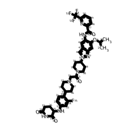 CC(C)Oc1cc2nn(C3CCN(C(=O)CN4CCC(c5ccc(NC6CCC(=O)NC6=O)cc5F)CC4)CC3)cc2cc1NC(=O)c1cccc(C(F)(F)F)n1